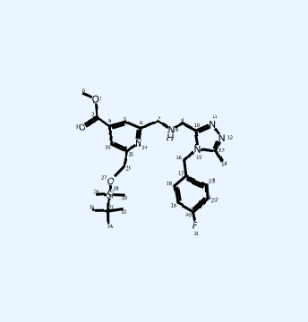 COC(=O)c1cc(CNCc2nnc(C)n2Cc2ccc(F)cc2)nc(CO[Si](C)(C)C(C)(C)C)c1